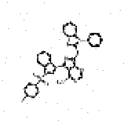 Cc1ccc(S(=O)(=O)n2cc(-c3nn(Cc4nc5ccccc5n4-c4ccccc4)c4ncnc(N)c34)c3ccccc32)cc1